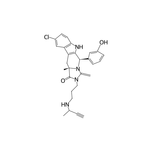 C#CC(C)NCCCN1C(=C)N2[C@H](c3cccc(O)c3)c3[nH]c4ccc(Cl)cc4c3C[C@@]2(C)C1=O